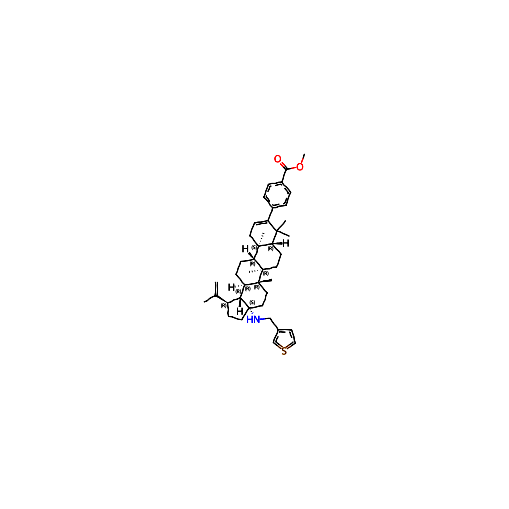 C=C(C)[C@@H]1CC[C@]2(NCc3ccsc3)CC[C@]3(C)[C@H](CC[C@@H]4[C@@]5(C)CC=C(c6ccc(C(=O)OC)cc6)C(C)(C)[C@@H]5CC[C@]43C)[C@@H]12